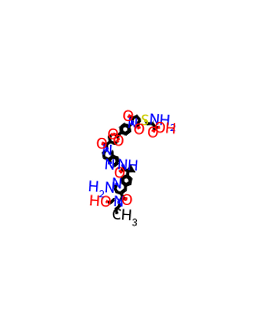 CCCN(CCO)C(=O)C1=Cc2ccc(C3(C(=O)Nc4cnc5c(c4)CN(C(=O)C4COC(c6ccc(N7C(=O)CC(SC[C@H](N)C(=O)O)C7=O)cc6)OC4)CC5)CC3)cc2N=C(N)C1